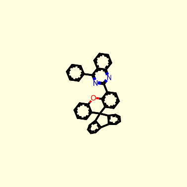 c1ccc(-c2nc(-c3cccc4c3Oc3ccccc3C43c4ccccc4-c4ccccc43)nc3ccccc23)cc1